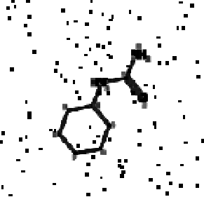 NC(=O)N[C]1CCCCC1